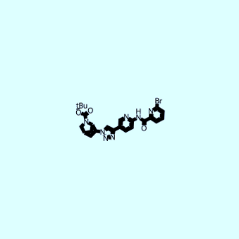 CC(C)(C)OC(=O)N1CC2CC1C(n1cc(-c3ccc(NC(=O)c4cccc(Br)n4)nc3)nn1)C2